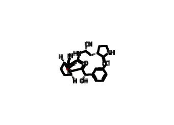 N#C[C@H](C[C@@H]1CCNC1=O)NC(=O)[C@H]1[C@@H]2CC[C@@H](CC2(F)F)N1C(=O)[C@@H](O)c1cccc(Cl)c1